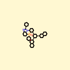 O=P1(c2ccccc2)c2c(-c3cc(-c4ccc5ccccc5c4)cc(-c4ccc5ccccc5c4)c3)cccc2-n2c(-c3ccccc3)nc3cccc1c32